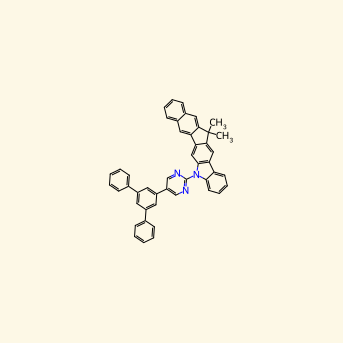 CC1(C)c2cc3ccccc3cc2-c2cc3c(cc21)c1ccccc1n3-c1ncc(-c2cc(-c3ccccc3)cc(-c3ccccc3)c2)cn1